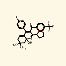 CC1(C)CC=C2C(c3ccc(F)cc3)=C(C(=O)c3ccc(C(F)(F)F)cc3)C(C3CCCC3)=NC2(O)C1